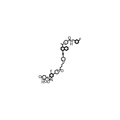 CC(c1ccc(C#CC2CCN(CCCCC(=O)N3CCC(c4cc5c(cc4F)n(C4CCC(=O)NC4=O)c(=O)n5C)CC3)CC2)c2ccccc12)N1CCC(C(=O)NCc2cccc(F)c2)CC1